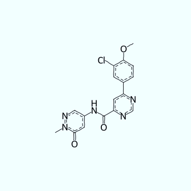 COc1ccc(-c2cc(C(=O)Nc3cnn(C)c(=O)c3)ncn2)cc1Cl